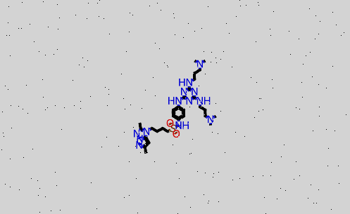 Cc1cc2n(CCCCS(=O)(=O)Nc3ccc(Nc4nc(NCCCN(C)C)nc(NCCCN(C)C)n4)cc3)c(C)nn2n1